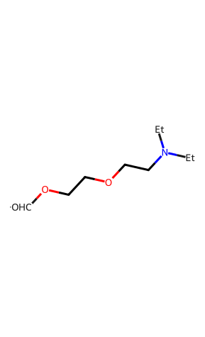 CCN(CC)CCOCCO[C]=O